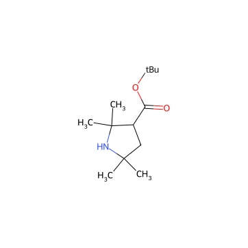 CC1(C)CC(C(=O)OC(C)(C)C)C(C)(C)N1